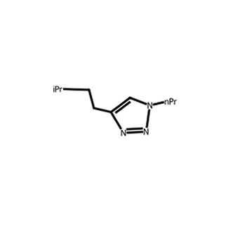 CCCn1cc(CCC(C)C)nn1